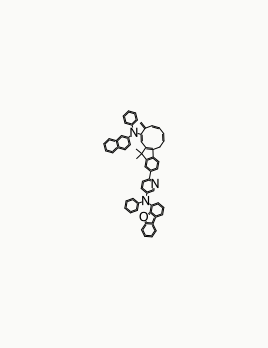 C=C1/C=C\C=C/CC2=C(/C=C\1N(c1ccccc1)c1ccc3ccccc3c1)C(C)(C)c1cc(-c3ccc(N(c4ccccc4)c4cccc5c4oc4ccccc45)cn3)ccc12